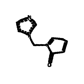 O=C1C=CC=[N+]1Cn1ccnc1